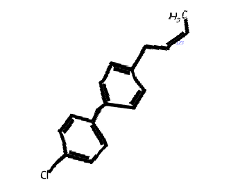 C/C=C\Cc1ccc(-c2ccc(Cl)cc2)cc1